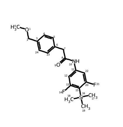 COCc1ccc(CC(=O)Nc2cc(F)c([Si](C)(C)C)c(F)c2)cc1